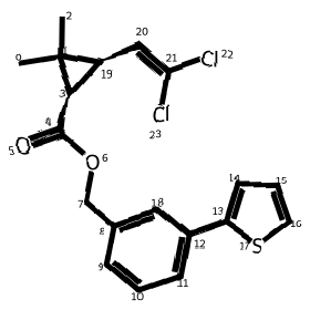 CC1(C)[C@H](C(=O)OCc2cccc(-c3cccs3)c2)[C@@H]1C=C(Cl)Cl